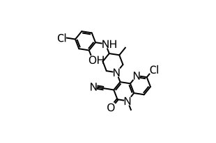 CC1CN(c2c(C#N)c(=O)n(C)c3ccc(Cl)nc23)CCC1Nc1ccc(Cl)cc1O